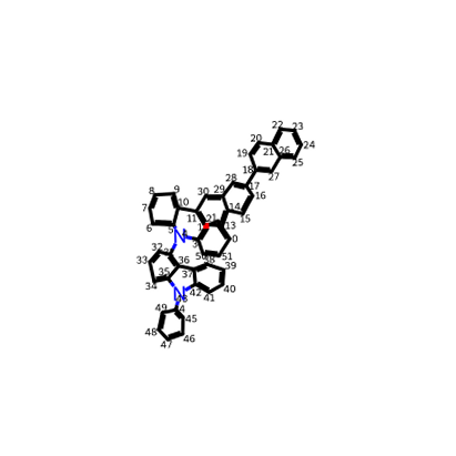 c1ccc(N(c2ccccc2-c2ccc3ccc(-c4ccc5ccccc5c4)cc3c2)c2cccc3c2c2ccccc2n3-c2ccccc2)cc1